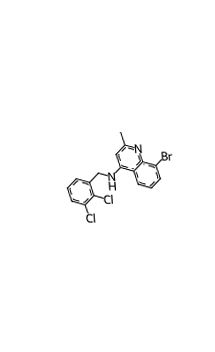 Cc1cc(NCc2cccc(Cl)c2Cl)c2cccc(Br)c2n1